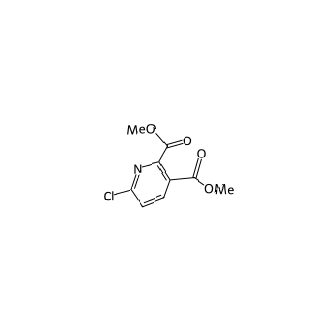 COC(=O)c1ccc(Cl)nc1C(=O)OC